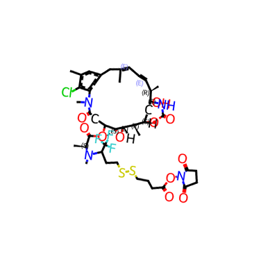 C/C1=C\C=C\[C@@H](C)[C@@]2(O)C[C@H](OC(=O)N2)[C@@H](C)[C@@H]2O[C@@]2(C)C(OC(=O)[C@H](C)N(C)C(CCSSCCCC(=O)ON2C(=O)CCC2=O)C(F)(F)F)CC(=O)N(C)c2cc(cc(C)c2Cl)C1